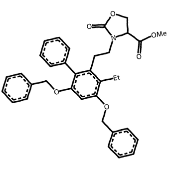 CCc1c(OCc2ccccc2)cc(OCc2ccccc2)c(-c2ccccc2)c1CCN1C(=O)OCC1C(=O)OC